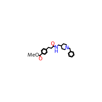 COC(=O)c1ccc(CCC(=O)NCC2CCN(Cc3ccccc3)CC2)cc1